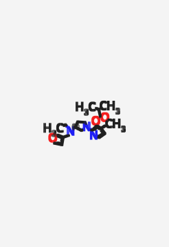 CCN(Cc1ccoc1)[C@@H]1CCN(c2nccc(C)c2OC(=O)C(C)C)C1